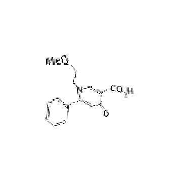 COCCn1cc(C(=O)O)c(=O)cc1-c1ccccc1